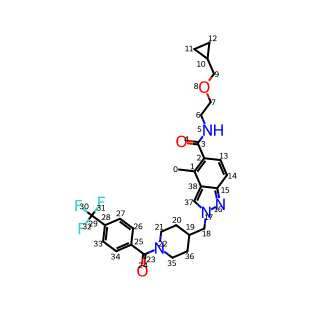 Cc1c(C(=O)NCCOCC2CC2)ccc2nn(CC3CCN(C(=O)c4ccc(C(F)(F)F)cc4)CC3)cc12